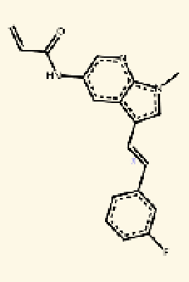 C=CC(=O)Nc1cnc2c(c1)c(/C=C/c1cccc(F)c1)cn2C